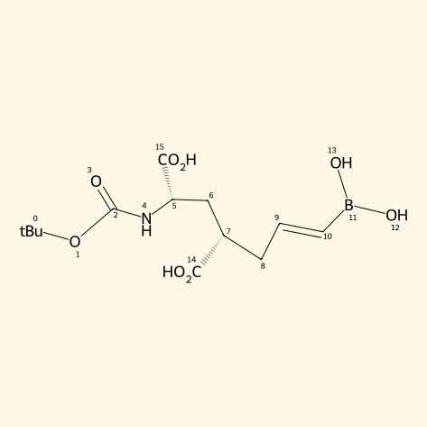 CC(C)(C)OC(=O)N[C@@H](C[C@H](C/C=C/B(O)O)C(=O)O)C(=O)O